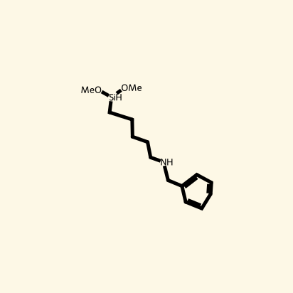 CO[SiH](CCCCCNCc1ccccc1)OC